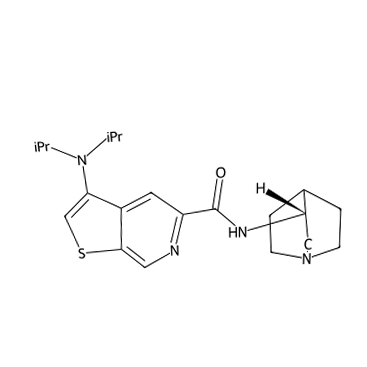 CC(C)N(c1csc2cnc(C(=O)N[C@H]3CN4CCC3CC4)cc12)C(C)C